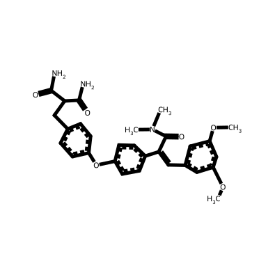 COc1cc(/C=C(\C(=O)N(C)C)c2ccc(Oc3ccc(CC(C(N)=O)C(N)=O)cc3)cc2)cc(OC)c1